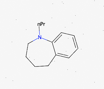 [CH2]CCN1CCCCc2ccccc21